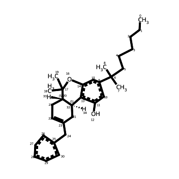 CCCCCCC(C)(C)c1cc(O)c2c(c1)OC(C)(C)[C@H]1CC=C(Cc3ccccc3)C[C@H]21